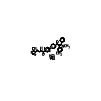 Cc1ccc2c(c1)c(C(=O)N1CCN(c3cnc(C(=O)NCCc4scnc4C)cn3)CC1)c(-c1ccccc1)n2C.Cl.Cl.Cl